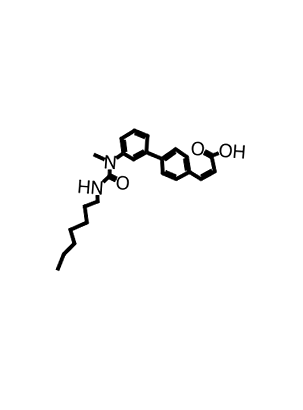 CCCCCCCNC(=O)N(C)c1cccc(-c2ccc(/C=C\C(=O)O)cc2)c1